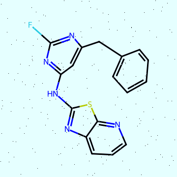 Fc1nc(Cc2ccccc2)cc(Nc2nc3cccnc3s2)n1